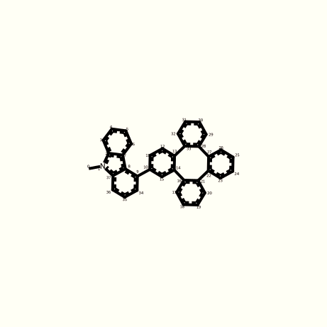 Cn1c2ccccc2c2c(-c3ccc4c(c3)-c3ccccc3-c3ccccc3-c3ccccc3-4)cccc21